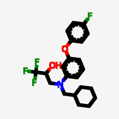 OC(CN(CC1CCCCC1)c1cccc(Oc2ccc(F)cc2)c1)C(F)(F)F